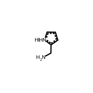 I.NCc1ccc[nH]1